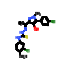 C/C(=N\NC(=S)Nc1ccc(C(=O)O)c(Cl)c1)c1nn(C)c(-c2ccc(Cl)cc2)c1O